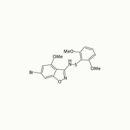 COc1cccc(OC)c1SNc1noc2cc(Br)cc(OC)c12